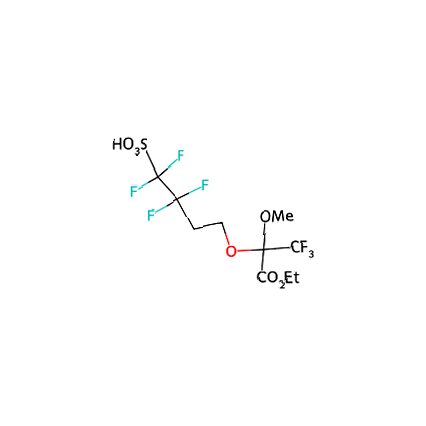 CCOC(=O)C(OC)(OCCC(F)(F)C(F)(F)S(=O)(=O)O)C(F)(F)F